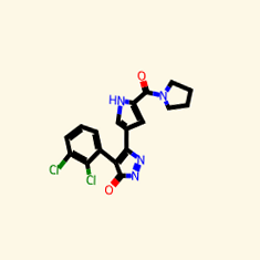 O=C1N=NC(c2c[nH]c(C(=O)N3CCCC3)c2)=C1c1cccc(Cl)c1Cl